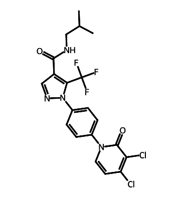 CC(C)CNC(=O)c1cnn(-c2ccc(-n3ccc(Cl)c(Cl)c3=O)cc2)c1C(F)(F)F